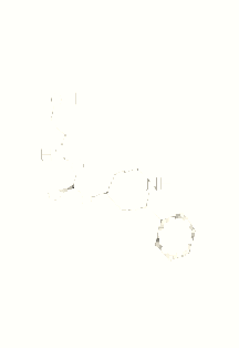 O=C(ONCCO)OC1CCNC(c2ccccc2)C1